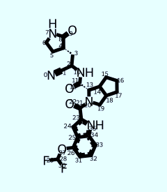 N#CC(C[C@@H]1CCNC1=O)NC(=O)[C@@H]1C2CCCC2CN1C(=O)c1cc2c(OC(F)F)cccc2[nH]1